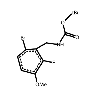 COc1ccc(Br)c(CNC(=O)OC(C)(C)C)c1F